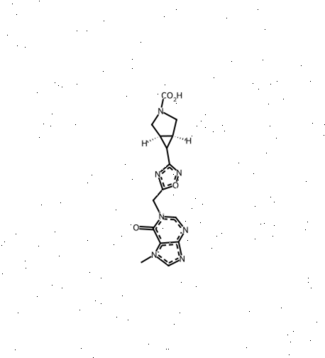 Cn1cnc2ncn(Cc3nc(C4[C@H]5CN(C(=O)O)C[C@@H]45)no3)c(=O)c21